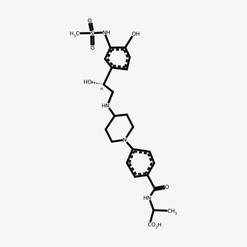 CC(NC(=O)c1ccc(N2CCC(NC[C@H](O)c3ccc(O)c(NS(C)(=O)=O)c3)CC2)cc1)C(=O)O